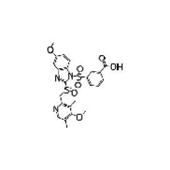 COc1ccc2c(c1)nc([S+]([O-])Cc1ncc(C)c(OC)c1C)n2S(=O)(=O)c1cccc(C(=O)O)c1